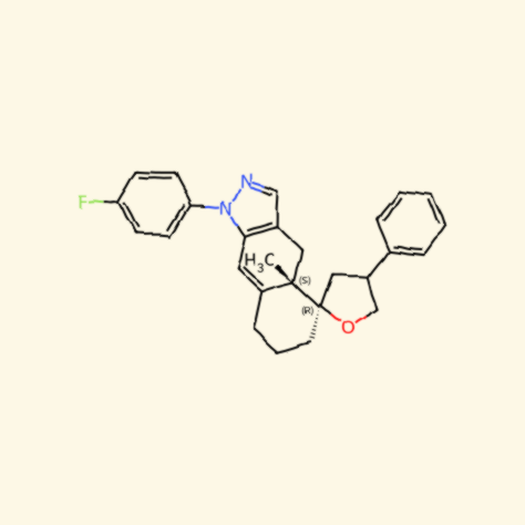 C[C@]12Cc3cnn(-c4ccc(F)cc4)c3C=C1CCC[C@@]21CC(c2ccccc2)CO1